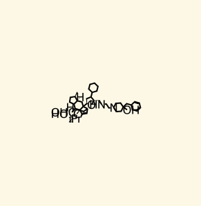 CC(C)C1=CC2CC3(C=O)[C@@H]4CC[C@@H](C)[C@H]4CC2([C@H]2CC(C4CCCCC4)[C@H](CNCCN4CCC(O)(Cc5ccccc5)CC4)O2)[C@]13C(=O)O